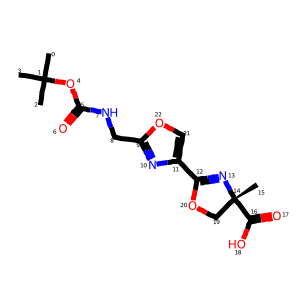 CC(C)(C)OC(=O)NCc1nc(C2=N[C@](C)(C(=O)O)CO2)co1